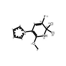 COC1=C(n2cccc2)C=C(F)C(Cl)(Cl)N1